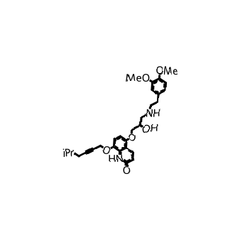 COc1ccc(CCNCC(O)COc2ccc(OCC#CCC(C)C)c3[nH]c(=O)ccc23)cc1OC